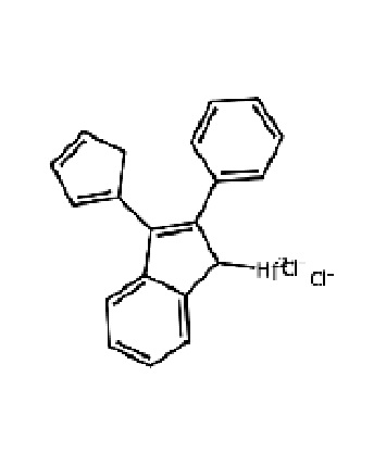 [Cl-].[Cl-].[Hf+2][CH]1C(c2ccccc2)=C(C2=CC=CC2)c2ccccc21